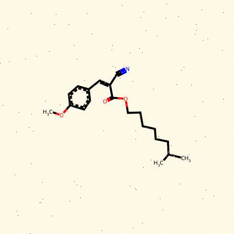 COc1ccc(C=C(C#N)C(=O)OCCCCCCC(C)C)cc1